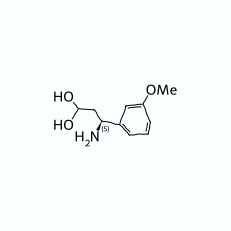 COc1cccc([C@@H](N)CC(O)O)c1